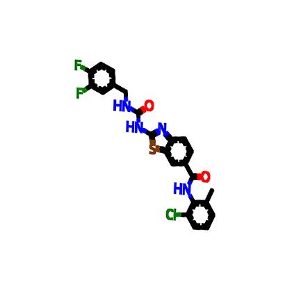 Cc1cccc(Cl)c1NC(=O)c1ccc2nc(NC(=O)NCc3ccc(F)c(F)c3)sc2c1